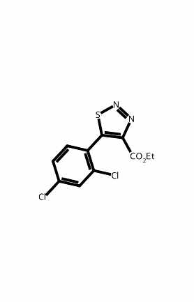 CCOC(=O)c1nnsc1-c1ccc(Cl)cc1Cl